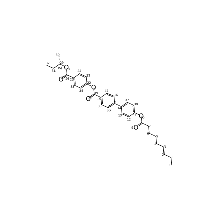 CCCCCCCCC(=O)Oc1ccc(-c2ccc(C(=O)Oc3ccc(C(=O)O[C@@H](C)CC)cc3)cc2)cc1